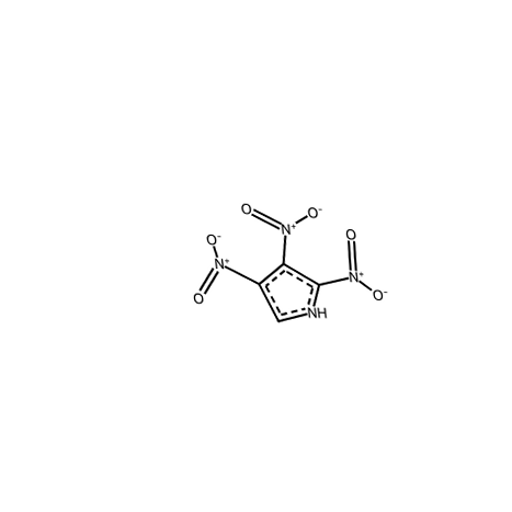 O=[N+]([O-])c1c[nH]c([N+](=O)[O-])c1[N+](=O)[O-]